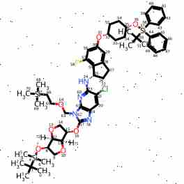 CC(C)(C)[Si](C)(C)O[C@@H]1CO[C@H]2[C@@H]1OC[C@H]2Oc1nc2cc(Cl)c(N[C@H]3CCc4cc(O[C@H]5CC[C@@H](O[Si](c6ccccc6)(c6ccccc6)C(C)(C)C)CC5)cc(F)c43)nc2n1COCC[Si](C)(C)C